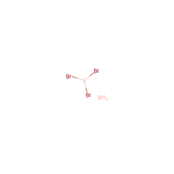 B.BrB(Br)Br